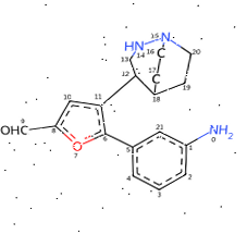 Nc1cccc(-c2oc(C=O)cc2C2CNN3CCC2CC3)c1